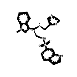 Cn1cc([C@H](CNS(=O)(=O)c2ccc3cc[nH]c3c2)NCc2cncs2)c2ccccc21